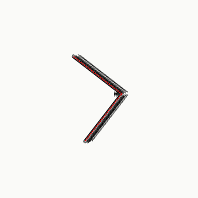 Cl.Cl.Cl.[Ca+2].[Ca+2].[Ca+2].[Ca+2].[Ca+2].[Ca+2].[Ca+2].[Ca+2].[Ca+2].[Ca+2].[Ca+2].[Ca+2].[Ca+2].[Ca+2].[Ca+2].[Ca+2].[Ca+2].[Ca+2].[Ca+2].[Ca+2].[Ca+2].[Ca+2].[Ca+2].[Ca+2].[Ca+2].[Ca+2].[Ca+2].[Ca+2].[Ca+2].[Ca+2].[Ca+2].[Ca+2].[Ca+2].[Ca+2].[Ca+2].[Ca+2].[Ca+2].[Ca+2].[Ca+2].[Ca+2].[Ca+2].[Ca+2].[Ca+2].[Ca+2].[Ca+2].[Ca+2].[Ca+2].[Ca+2].[Ca+2].[Ca+2].[Ca+2].[Ca+2].[Ca+2].[Ca+2].[Ca+2].[Ca+2].[Ca+2].[Ca+2].[Ca+2].[Ca+2].[Ca+2].[Ca+2].[Ca+2].[Ca+2].[Ca+2].[Ca+2].[Ca+2].[Ca+2].[Ca+2].[Ca+2].[Ca+2].[Ca+2].[Ca+2].[Ca+2].[Ca+2].[Ca+2].[Ca+2].[Ca+2].[Ca+2].[Ca+2].[Ca+2].[Ca+2].[Ca+2].[Ca+2].[Ca+2].[Ca+2].[Ca+2].[Ca+2].[Ca+2].[Ca+2].[Ca+2].[Ca+2].[Ca+2].[Ca+2].[Ca+2].[Ca+2].[Ca+2].[Ca+2].[Ca+2].[Ca+2].[Ca+2].[Ca+2].[Ca+2].[Ca+2].[Ca+2].[Ca+2].[Ca+2]